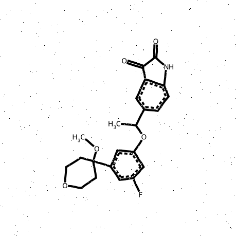 COC1(c2cc(F)cc(OC(C)c3ccc4c(c3)C(=O)C(=O)N4)c2)CCOCC1